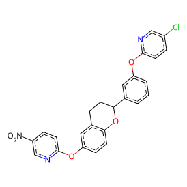 O=[N+]([O-])c1ccc(Oc2ccc3c(c2)CCC(c2cccc(Oc4ccc(Cl)cn4)c2)O3)nc1